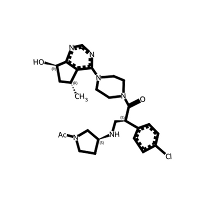 CC(=O)N1CC[C@H](NC[C@@H](C(=O)N2CCN(c3ncnc4c3[C@H](C)C[C@H]4O)CC2)c2ccc(Cl)cc2)C1